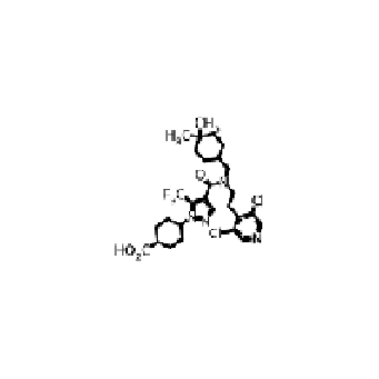 CC1(C)CCC(CN(CCc2c(Cl)cncc2Cl)C(=O)c2cnn(C3CCC(C(=O)O)CC3)c2C(F)(F)F)CC1